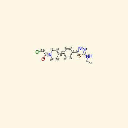 CCNc1nnc(-c2c#cc(C3=CCN(C(=O)CCl)CC3)cc2)s1